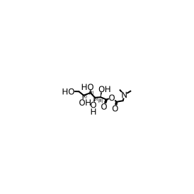 CN(C)CC(=O)OC(=O)[C@H](O)[C@@H](O)[C@H](O)[C@H](O)CO